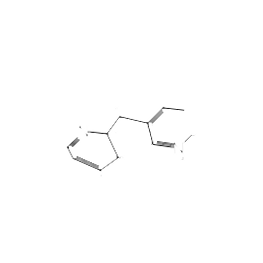 C/C=C(\C=N/C)CC1CC=CC=N1